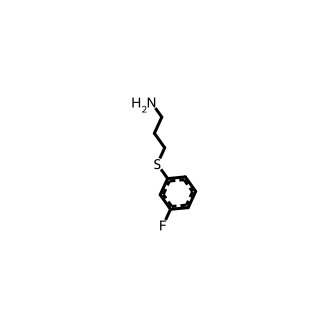 NCCCSc1cccc(F)c1